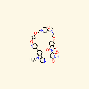 Cn1c2ccncc2c2ccc(-c3ccc(O[C@H]4C[C@H](OCCN5CCC6(CC5)CN(CCOc5ccc7c(c5)C(=O)N(C5CCC(=O)NC5=O)C7=O)CCO6)C4)nc3)cc21